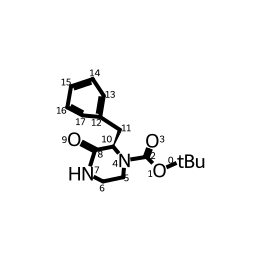 CC(C)(C)OC(=O)N1CCNC(=O)[C@H]1Cc1ccccc1